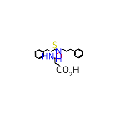 O=C(O)CCC(=O)N[C@@H](Cc1ccccc1)C(=S)NCCCc1ccccc1